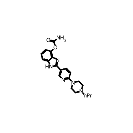 CCCN1CCN(c2ccc(-c3nc4c(OC(N)=O)cccc4[nH]3)cn2)CC1